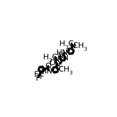 Cc1ccc(NC(=O)c2cccc(C(F)(F)F)c2)cc1N1Cc2cnc(Nc3cccc(N(C)C)c3)nc2N(C)C1=O